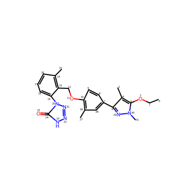 CCOc1c(C)c(-c2ccc(OCc3c(C)cccc3-n3nn[nH]c3=O)c(C)c2)nn1C